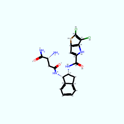 NC(=O)[C@H](N)CC(=O)N[C@H]1c2ccccc2C[C@H]1NC(=O)c1cc2sc(Cl)c(Cl)c2[nH]1